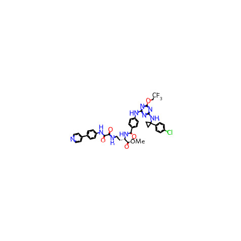 COC(=O)[C@H](CCNC(=O)C(=O)Nc1ccc(-c2ccncc2)cc1)NC(=O)c1ccc(Nc2nc(NC3(c4ccc(Cl)cc4)CC3)nc(OCC(F)(F)F)n2)cc1